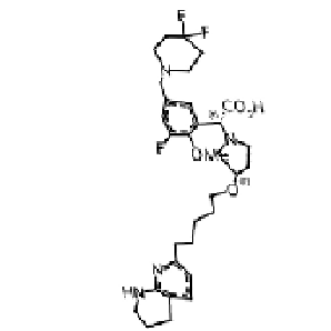 COc1c(F)cc(CN2CCC(F)(F)CC2)cc1[C@H](C(=O)O)N1CC[C@@H](OCCCCCc2ccc3c(n2)NCCC3)C1